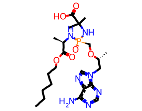 CCCCCCOC(=O)[C@@H](C)N[P@](=O)(CO[C@H](C)Cn1cnc2c(N)ncnc21)NC(C)(C)C(=O)O